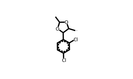 [CH2]C1OC(C)OC1c1ccc(Cl)cc1Cl